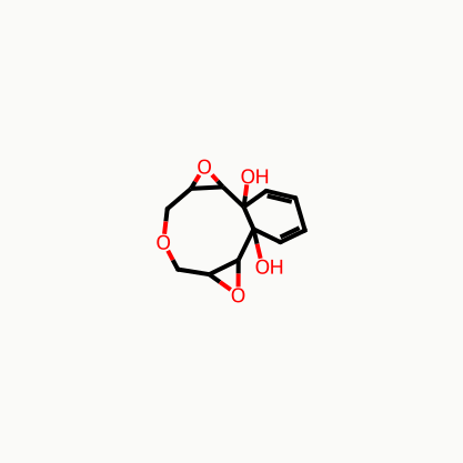 OC12C=CC=CC1(O)C1OC1COCC1OC12